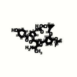 COC(=O)N[C@@H]1C[C@@H](C(=O)N2CCC(O)CC2)N(C(=O)c2nc(-c3ccc(OC(F)F)c(OCC4CC4)c3)oc2[C@H](C)N)C1